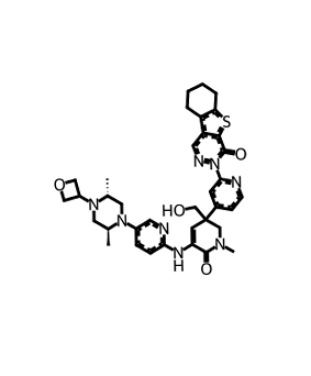 C[C@@H]1CN(c2ccc(NC3=CC(CO)(c4ccnc(-n5ncc6c7c(sc6c5=O)CCCC7)c4)CN(C)C3=O)nc2)[C@@H](C)CN1C1COC1